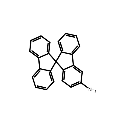 Nc1ccc2c(c1)-c1ccccc1C21c2ccccc2-c2ccccc21